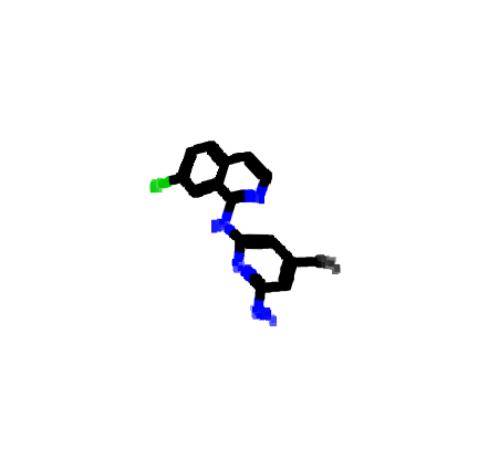 Cc1cc(N)nc(Nc2nccc3ccc(Cl)cc23)c1